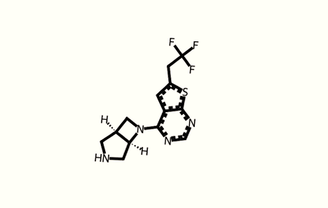 FC(F)(F)Cc1cc2c(N3C[C@@H]4CNC[C@@H]43)ncnc2s1